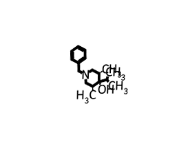 CC(C)[C@]1(O)[C@H](C)CN(Cc2ccccc2)C[C@@H]1C